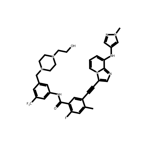 Cc1cc(F)c(C(=O)Nc2cc(CN3CCN(CCO)CC3)cc(C(F)(F)F)c2)cc1C#Cc1cnc2c(Nc3cnn(C)c3)cccn12